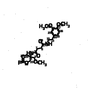 COCC1(NC(=O)CCC(=O)NCCc2ccc(OC)c(OC)c2)COB(F)OC1